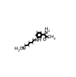 COCCCCCNc1cccc(C(N)C(C)=O)c1